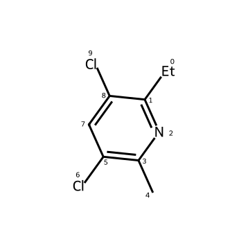 CCc1nc(C)c(Cl)cc1Cl